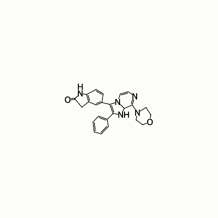 O=C1Cc2cc(C3=C(c4ccccc4)NC4C(N5CCOCC5)=NC=CN34)ccc2N1